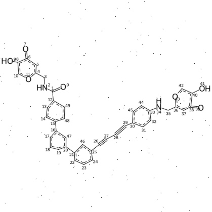 O=C(NCc1cc(=O)c(O)co1)c1ccc(-c2cccc(-c3cccc(C#CC#Cc4ccc(NCc5cc(=O)c(O)co5)cc4)c3)c2)cc1